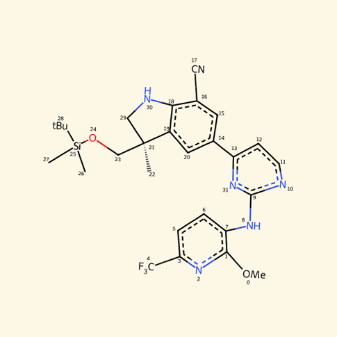 COc1nc(C(F)(F)F)ccc1Nc1nccc(-c2cc(C#N)c3c(c2)[C@@](C)(CO[Si](C)(C)C(C)(C)C)CN3)n1